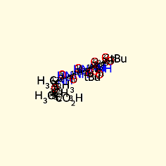 CC(C)(CNC(=O)CNC(=O)CNC(=O)CNC(=O)CNC(=O)[C@H](CCC(=O)OC(C)(C)C)NC(=O)OC(C)(C)C)COCC(C)(C)CC(=O)O